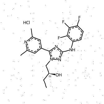 CC[C@H](O)Cn1nc(Nc2ccc(F)c(F)c2F)nc1-c1cc(C)nc(C)c1.Cl